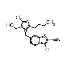 CCCCc1nc(Cl)c(CO)n1Cc1ccc2c(Cl)c(C#N)sc2c1